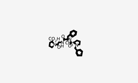 C[C@@](Cc1ccccc1)(NC(=O)[C@@H]1CCCN1Cc1ccccc1)C(=O)NCC(=O)N1CCC[C@H]1C(=O)O